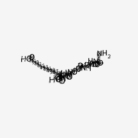 NCCCC[C@H](NC(=O)COCCOCCNC(=O)COCCOCCNC(=O)CC[C@H](NC(=O)CCCCCCCCCCCCCCCCCCC(=O)O)C(=O)O)C(=O)O